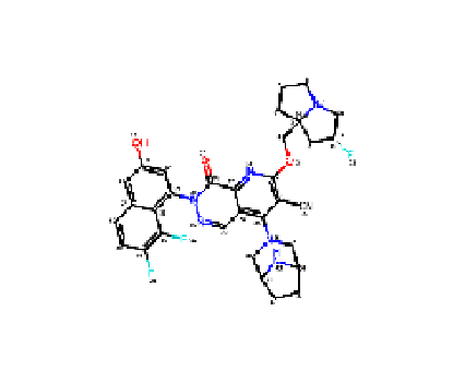 N#Cc1c(OC[C@@]23CCCN2C[C@H](F)C3)nc2c(=O)n(-c3cc(O)cc4ccc(F)c(F)c34)ncc2c1N1CC2CCC(C1)N2